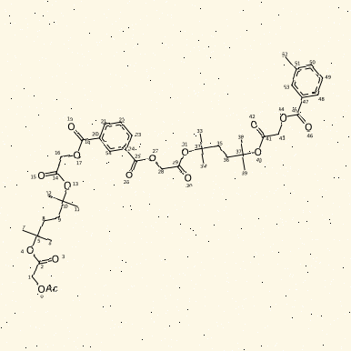 CC(=O)OCC(=O)OC(C)(C)CCC(C)(C)OC(=O)COC(=O)c1cccc(C(=O)OCC(=O)OC(C)(C)CCC(C)(C)OC(=O)COC(=O)c2cccc(C)c2)c1